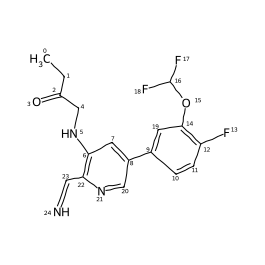 CCC(=O)CNc1cc(-c2ccc(F)c(OC(F)F)c2)cnc1C=N